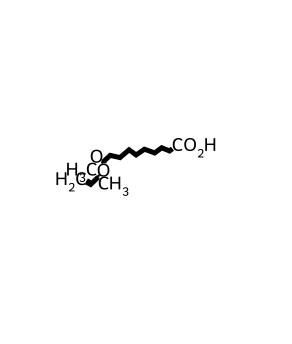 C=CC(C)(C)OC(=O)CCCCCCCCC(=O)O